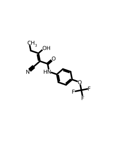 CC/C(O)=C(\C#N)C(=O)Nc1ccc(OC(F)(F)F)cc1